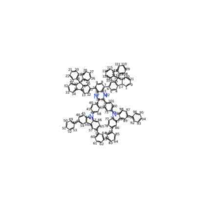 C1=CC2c3ccc(-c4ccc(-c5ccc6c(c5)C(c5ccccc5)(c5ccccc5)c5ccccc5-6)c5nc(-c6ccc(-n7c8ccc(-c9ccccc9)cc8c8cc(-c9ccccc9)ccc87)cc6)c(-c6ccc(-n7c8ccc(-c9ccccc9)cc8c8cc(-c9ccccc9)ccc87)cc6)nc45)cc3C(c3ccccc3)(c3ccccc3)C2C=C1